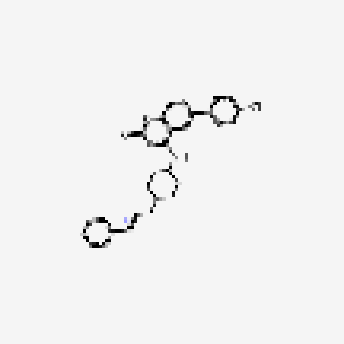 O=c1cc(NC2CCN(C/C=C/c3ccccc3)CC2)c2cc(-c3ccc(Cl)cc3)ccc2o1